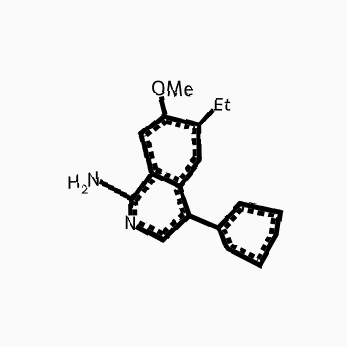 CCc1cc2c(-c3ccccc3)cnc(N)c2cc1OC